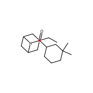 CCN1CC2CC(C1)N2C(=O)C1CCCC(C)(C)C1